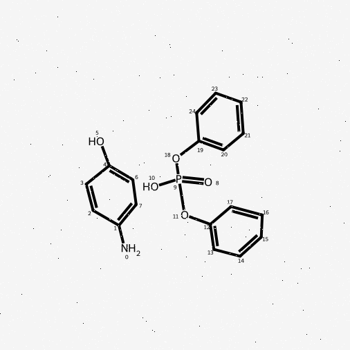 Nc1ccc(O)cc1.O=P(O)(Oc1ccccc1)Oc1ccccc1